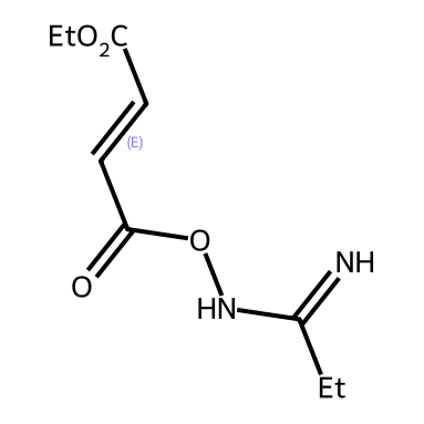 CCOC(=O)/C=C/C(=O)ONC(=N)CC